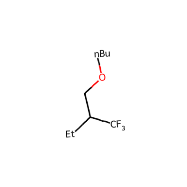 [CH2]CCCOCC(CC)C(F)(F)F